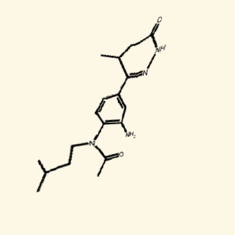 CC(=O)N(CCC(C)C)c1ccc(C2=NNC(=O)CC2C)cc1N